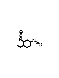 O=C=NC1CCC(CI)C(N=C=O)C1